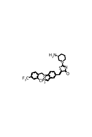 N[C@H]1CCCN(C2=NC(=O)/C(=C/c3ccc4c(cnn4Cc4ccc(C(F)(F)F)cc4C(F)(F)F)c3)S2)C1